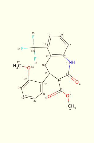 COC(=O)C1C(=O)Nc2cccc(C(F)(F)F)c2CC1c1ccccc1OC